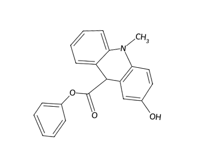 CN1c2ccccc2C(C(=O)Oc2ccccc2)c2cc(O)ccc21